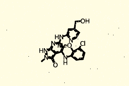 COc1c(Cl)cccc1Nc1cc(Nc2cc(CO)ccn2)nc2[nH]n(C)c(=O)c12